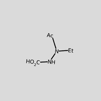 CCN(NC(=O)O)C(C)=O